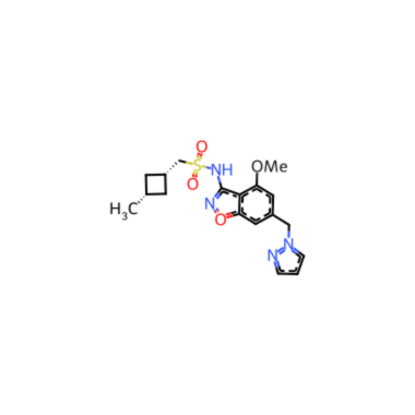 COc1cc(Cn2cccn2)cc2onc(NS(=O)(=O)C[C@H]3C[C@@H](C)C3)c12